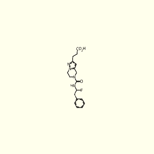 O=C(O)CCc1cc2n(n1)CCN(C(=O)NC(F)Cc1ccccc1)C2